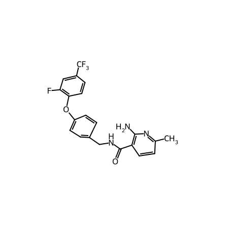 Cc1ccc(C(=O)NCc2ccc(Oc3ccc(C(F)(F)F)cc3F)cc2)c(N)n1